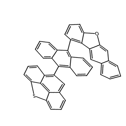 c1ccc2cc3c(cc2c1)oc1cccc(-c2c4ccccc4c(-c4cc5cccc6sc7cccc4c7c56)c4ccccc24)c13